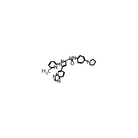 Cc1cccc(-n2nc(CC(=O)Nc3ccc(N4CCCC4)cc3)cc2-c2ccc3ncnn3c2)n1